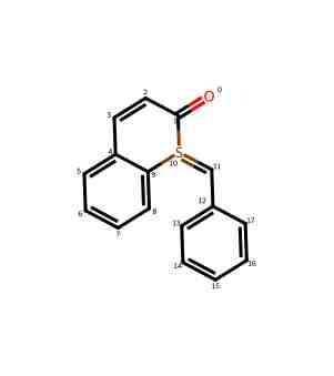 O=C1C=Cc2ccccc2S1=Cc1ccccc1